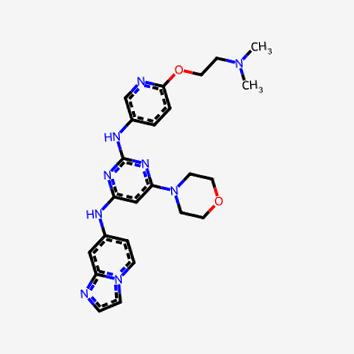 CN(C)CCOc1ccc(Nc2nc(Nc3ccn4ccnc4c3)cc(N3CCOCC3)n2)cn1